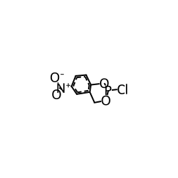 O=[N+]([O-])c1ccc2c(c1)COP(Cl)O2